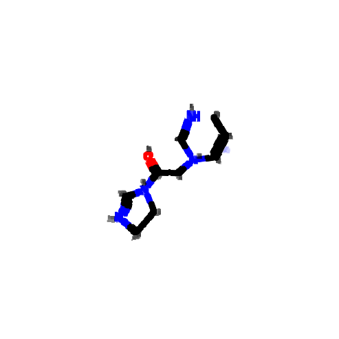 C/C=C\N(C=N)CC(=O)N1C=NCC1